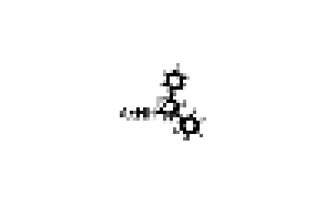 CC(=O)Nc1nc(-c2ccccc2)cc(-c2ccccc2)n1